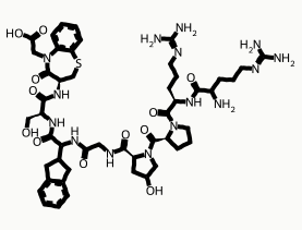 NC(N)=NCCCC(N)C(=O)N[C@H](CCCN=C(N)N)C(=O)N1CCC[C@H]1C(=O)N1CC(O)C[C@H]1C(=O)NCC(=O)NC(C(=O)N[C@@H](CO)C(=O)N[C@@H]1CSc2ccccc2N(CC(=O)O)C1=O)C1Cc2ccccc2C1